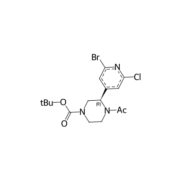 CC(=O)N1CCN(C(=O)OC(C)(C)C)C[C@H]1c1cc(Cl)nc(Br)c1